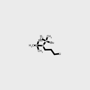 [Li][CH2]CCN([Si](C)(C)C(C)(C)C)[Si](C)(C)C(C)(C)C